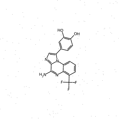 Nc1nc2c(C(F)(F)F)cccc2n2c(-c3ccc(O)c(O)c3)cnc12